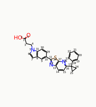 O=C(O)CCn1ccc2cc(-c3nc4ccc(C5(c6ccccc6)CC5)nc4s3)ccc21